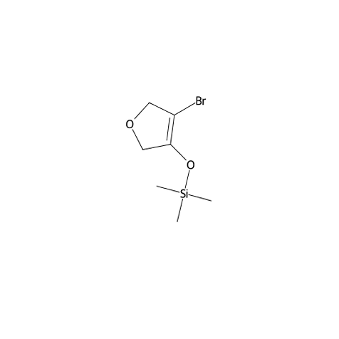 C[Si](C)(C)OC1=C(Br)COC1